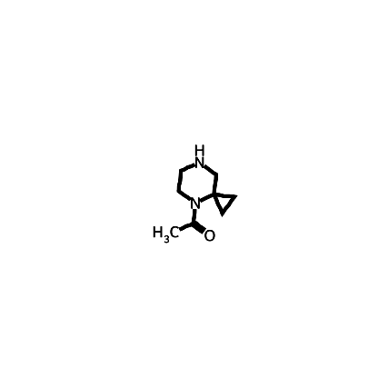 CC(=O)N1CCNCC12CC2